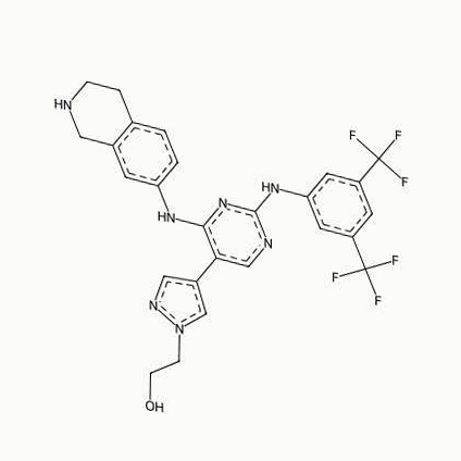 OCCn1cc(-c2cnc(Nc3cc(C(F)(F)F)cc(C(F)(F)F)c3)nc2Nc2ccc3c(c2)CNCC3)cn1